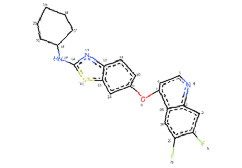 Fc1cc2nccc(Oc3ccc4nc(NC5CCCCC5)sc4c3)c2cc1F